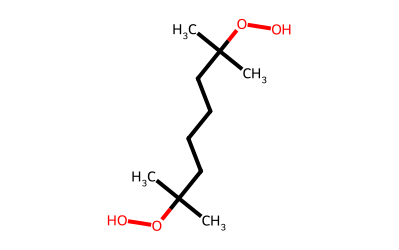 CC(C)(CCCCC(C)(C)OO)OO